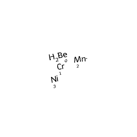 [BeH2].[Cr].[Mn].[Ni]